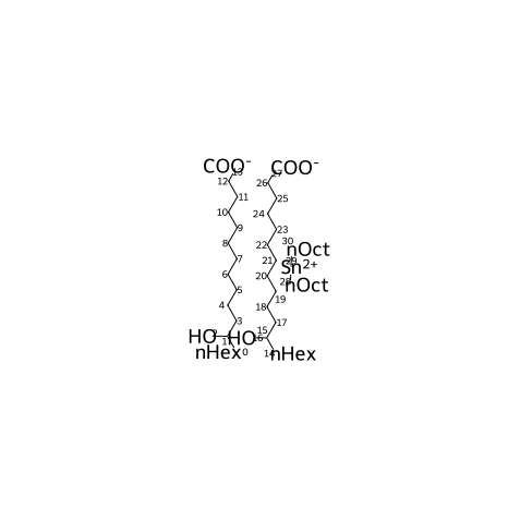 CCCCCCC(O)CCCCCCCCCCC(=O)[O-].CCCCCCC(O)CCCCCCCCCCC(=O)[O-].CCCCCCC[CH2][Sn+2][CH2]CCCCCCC